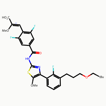 CO/C(=C\c1c(F)cc(C(=O)Nc2nc(-c3cccc(CCCOCC(C)(C)C)c3F)c(OC)s2)cc1F)C(=O)O